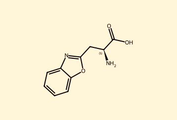 N[C@@H](Cc1nc2ccccc2o1)C(=O)O